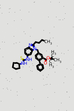 CCCCc1nc2ccc(NC(=S)NC3CCCCC3)cc2n1Cc1ccc(-c2ccccc2)c(C(=O)OC(C)(C)C)c1